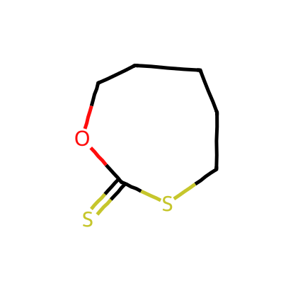 S=C1OCCCCCS1